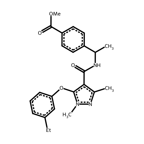 CCc1cccc(Oc2c(C(=O)NC(C)c3ccc(C(=O)OC)cc3)c(C)nn2C)c1